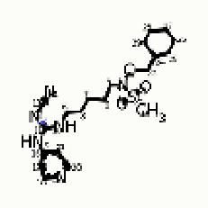 CS(=O)(=O)N(CCCCCN/C(=N\C#N)Nc1ccncc1)OCC1CCCCC1